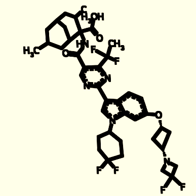 CC1CC2CC(C)C(NC(=O)c3cnc(-c4cn(C5CCC(F)(F)CC5)c5cc(O[C@H]6C[C@@H](N7CC(F)(F)C7)C6)ccc45)nc3C(C)(F)F)(C(=O)O)C(C1)C2